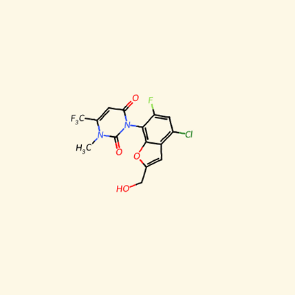 Cn1c(C(F)(F)F)cc(=O)n(-c2c(F)cc(Cl)c3cc(CO)oc23)c1=O